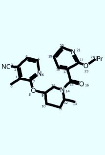 Cc1c(C#N)ccnc1OC1CCC(C)N(C(=O)c2cccnc2OC(C)C)C1